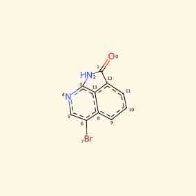 O=C1Nc2ncc(Br)c3cccc1c23